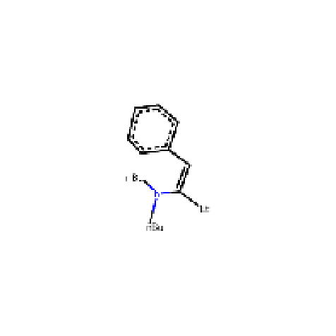 CCCCN(CCCC)C(=Cc1ccccc1)CC